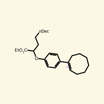 CCCCCCCCCCCCC(Oc1ccc(/C2=C/CCCCCC2)cc1)C(=O)OCC